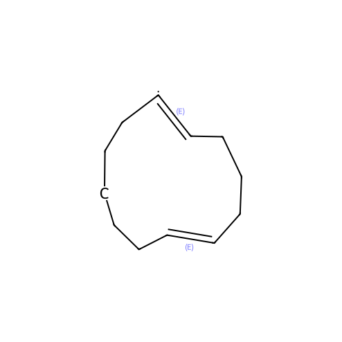 [C]1=C/CCC/C=C/CCCCC/1